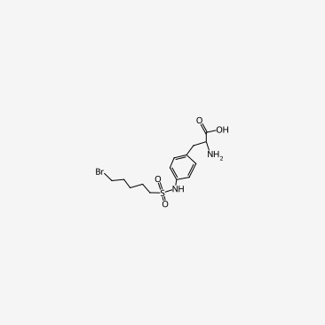 NC(Cc1ccc(NS(=O)(=O)CCCCCBr)cc1)C(=O)O